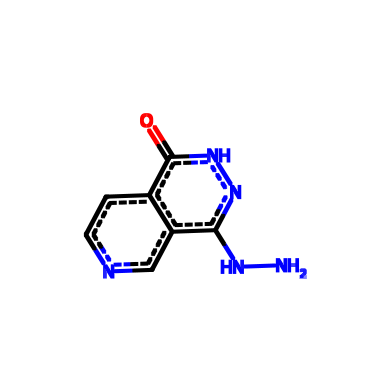 NNc1n[nH]c(=O)c2ccncc12